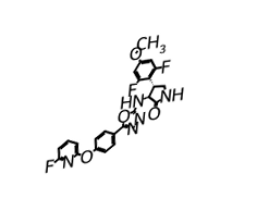 COc1cc(F)c([C@@H]2CNC(=O)[C@H]2Nc2nnc(-c3ccc(Oc4cccc(F)n4)cc3)o2)c(F)c1